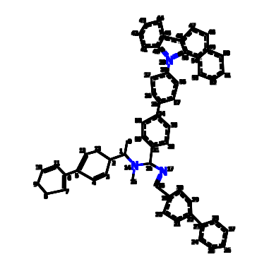 CC(C1C=CC(C2=CCCC=C2)=CC1)N(C)C(/N=C/c1ccc(-c2ccccc2)cc1)c1ccc(-c2ccc(-n3c4ccccc4c4ccc5ccccc5c43)cc2)cc1